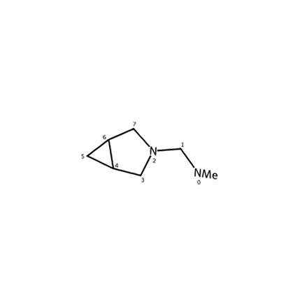 CNCN1CC2CC2C1